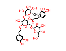 C[C@@H]1O[C@@H](O[C@@H]2[C@@H](O)[C@H](OCCc3ccc(O)c(O)c3)O[C@H](COC3O[C@H](CO)[C@@H](O)[C@H](O)[C@H]3O)[C@H]2OC(=O)/C=C/c2ccc(O)c(O)c2)[C@H](O)[C@H](O)[C@H]1O